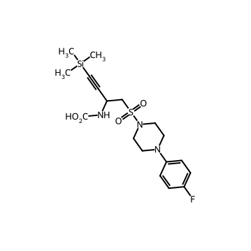 C[Si](C)(C)C#CC(CS(=O)(=O)N1CCN(c2ccc(F)cc2)CC1)NC(=O)O